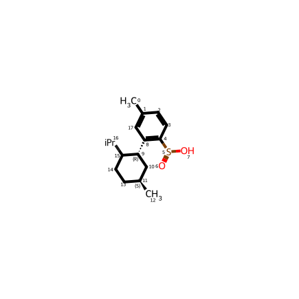 Cc1ccc(S(=O)O)c([C@@H]2C[C@@H](C)CCC2C(C)C)c1